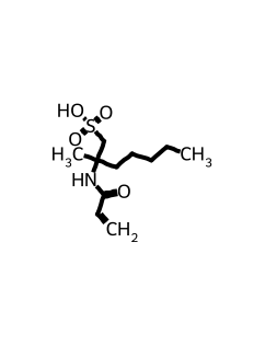 C=CC(=O)NC(C)(CCCCC)CS(=O)(=O)O